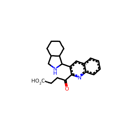 O=C(O)CCC(=O)c1nc2ccccc2cc1C1NCC2CCCCC21